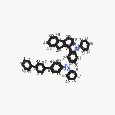 c1ccc(-c2ccc(-c3ccc(N(c4ccccc4)c4ccc5c(c4)c4c6c(ccc4n5-c4ccccc4)-c4ccccc4C6)cc3)cc2)cc1